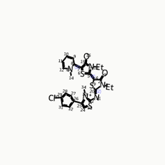 CCN1C(=O)/C(=c2/s/c(=C3/C=CC=CN3C)c(=O)n2CC)S/C1=N\c1scc(-c2ccc(Cl)cc2)[n+]1C